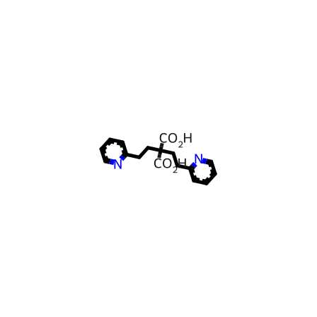 O=C(O)C(CCc1ccccn1)(CCc1ccccn1)C(=O)O